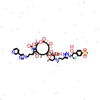 CO[C@]1(C)C[C@@H](C)C(=O)[C@@H]2C(CCCn3cnc(-c4cccnc4)c3)N3C(=O)O[C@](C)([C@@H](I)OC(=O)[C@H](C)C(=O)[C@H](C)[C@H]1O[C@@H]1O[C@H](C)C[C@H](N(C)CCc4cn([C@H](CF)[C@H](O)c5ccc(S(C)(=O)=O)cc5)nn4)[C@H]1O)[C@@H]23